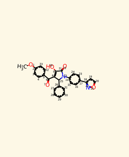 COc1ccc(C(=O)C2=C(O)C(=O)N(c3ccc(-c4ccon4)cc3)C2c2ccccc2)cc1